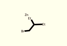 CCC(CC)CBr.[Zn]